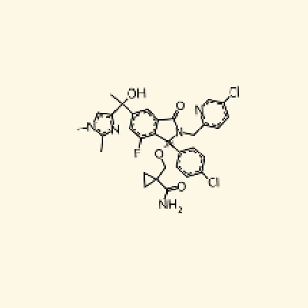 Cc1nc(C(C)(O)c2cc(F)c3c(c2)C(=O)N(Cc2ccc(Cl)cn2)[C@@]3(OCC2(C(N)=O)CC2)c2ccc(Cl)cc2)cn1C